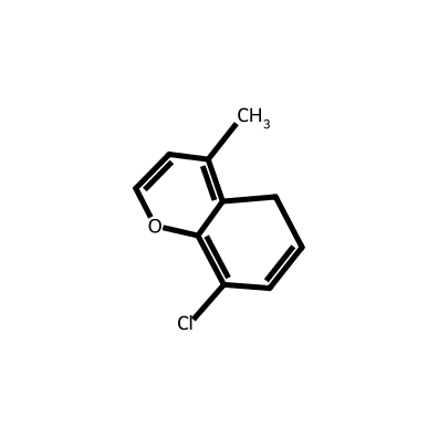 CC1=C2CC=CC(Cl)=C2OC=C1